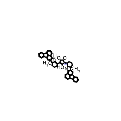 CC12CCC/C(=C3\C(=O)C(=O)C(C4=C5Nc6c(cc7c8c(cccc68)-c6ccccc6-7)C5(C)CCC4)=C3O)C1=Nc1c2cc2c3c(cccc13)-c1ccccc1-2